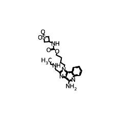 CCNCc1nc2c(N)nc3ccccc3c2n1CCCCOC(=O)NC1CS(=O)(=O)C1